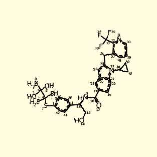 BC(O)(O)C(B)(B)Sc1ccc(C(CO)NC(=O)c2ccc3c(c2)cc(Cc2cccnc2C(F)(F)F)n3C2CC2)cc1